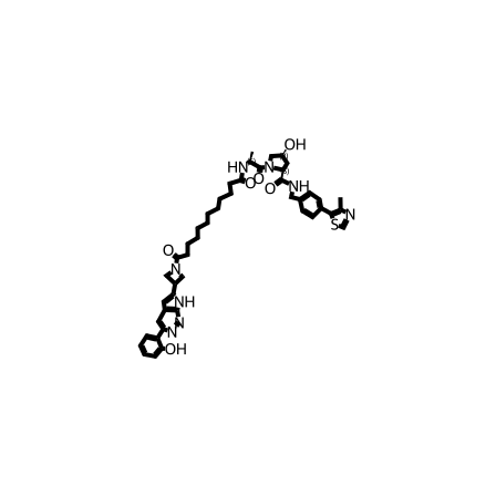 Cc1ncsc1-c1ccc(CNC(=O)[C@@H]2C[C@@H](O)CN2C(=O)[C@H](C)NC(=O)CCCCCCCCCCC(=O)N2CC(c3cc4cc(-c5ccccc5O)nnc4[nH]3)C2)cc1